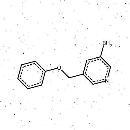 Bc1cncc(COc2ccccc2)c1